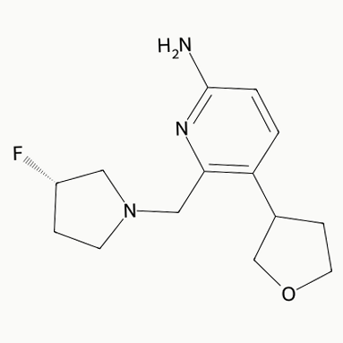 Nc1ccc(C2CCOC2)c(CN2CC[C@H](F)C2)n1